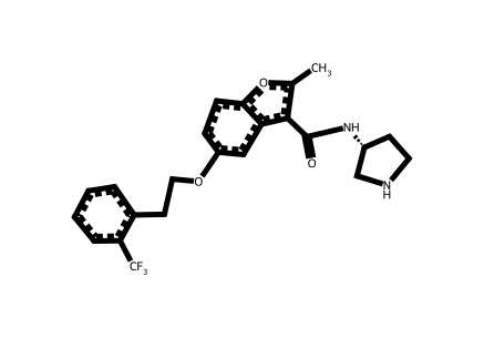 Cc1oc2ccc(OCCc3ccccc3C(F)(F)F)cc2c1C(=O)N[C@@H]1CCNC1